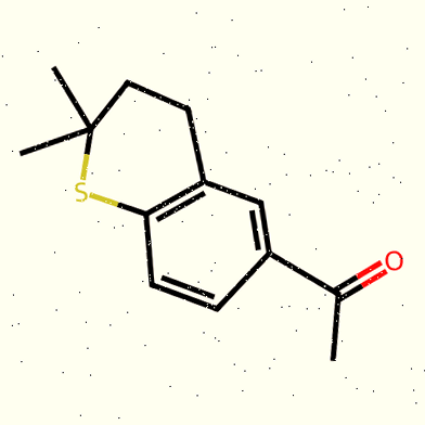 CC(=O)c1ccc2c(c1)CCC(C)(C)S2